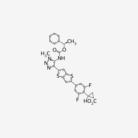 C[C@@H](OC(=O)Nc1c(-c2cc3sc(-c4cc(F)c(C5(C(=O)O)CC5)c(F)c4)cc3s2)nnn1C)c1ccccc1